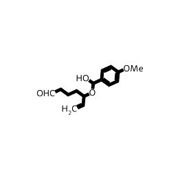 C=CC(CCCC=O)OC(O)c1ccc(OC)cc1